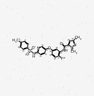 Cc1ccc(S(=O)(=O)Nc2ccc(Oc3ccc(F)c(NC(=O)c4cc(C)nn4C)c3)cn2)cc1